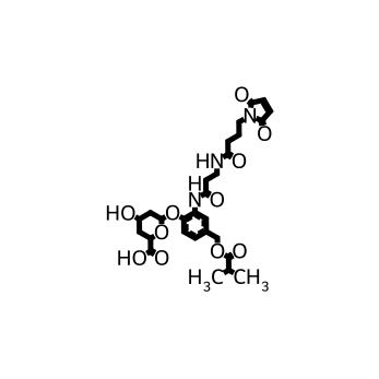 CC(C)C(=O)OCc1ccc(OC2CC(O)CC(C(=O)O)O2)c(NC(=O)CCNC(=O)CCCN2C(=O)C=CC2=O)c1